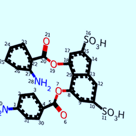 Nc1ccc(C(=O)Oc2cc(S(=O)(=O)O)cc3cc(S(=O)(=O)O)cc(OC(=O)c4ccccc4N)c23)cc1